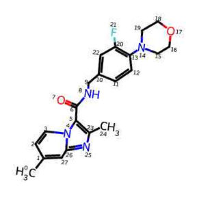 Cc1ccn2c(C(=O)NCc3ccc(N4CCOCC4)c(F)c3)c(C)nc2c1